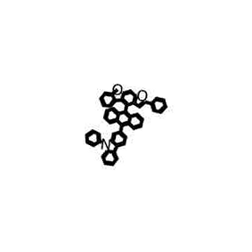 c1ccc(-c2cc3c(-c4c5ccccc5c(-c5ccc6c7ccccc7n(-c7ccccc7)c6c5)c5ccccc45)c4c(cc3o2)oc2ccccc24)cc1